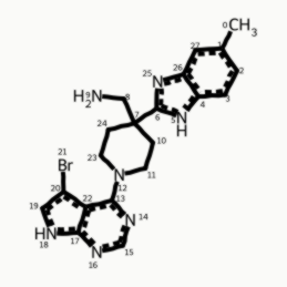 Cc1ccc2[nH]c(C3(CN)CCN(c4ncnc5[nH]cc(Br)c45)CC3)nc2c1